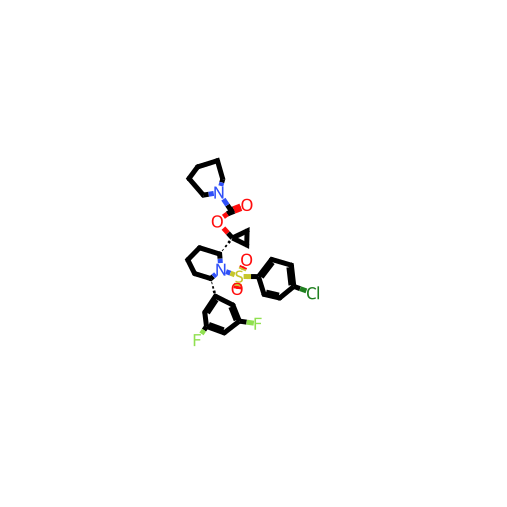 O=C(OC1([C@H]2CCC[C@@H](c3cc(F)cc(F)c3)N2S(=O)(=O)c2ccc(Cl)cc2)CC1)N1CCCCC1